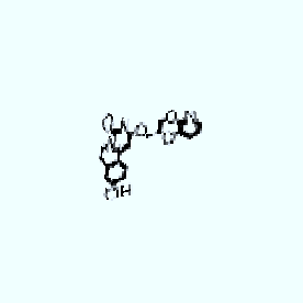 O=c1nc(OC[C@H]2COc3ncccc3O2)cc2n1CCc1cc(O)ccc1-2